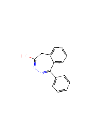 OC1=NN=C(c2ccccc2)c2ccccc2C1